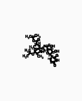 CC(C)OC(=O)[C@H](C)NP(=S)(N[C@@H](C)C(=O)OC(C)C)OC[C@@]1(C(F)F)O[C@@H](n2ccc(=O)[nH]c2=O)[C@@H](O)[C@@H]1O